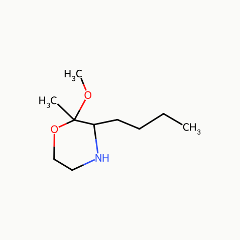 CCCCC1NCCOC1(C)OC